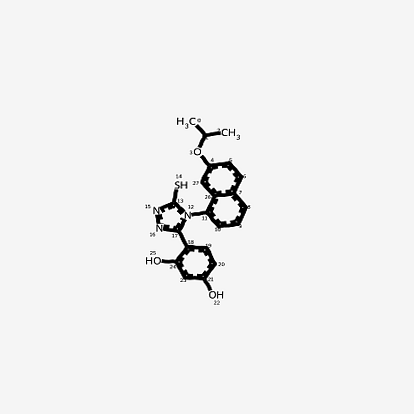 CC(C)Oc1ccc2cccc(-n3c(S)nnc3-c3ccc(O)cc3O)c2c1